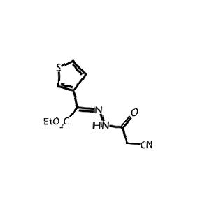 CCOC(=O)C(=NNC(=O)CC#N)c1ccsc1